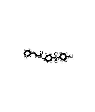 O=C(C=Cc1cccnc1)Nc1ccc(S(=O)(=O)c2ccc(Cl)cc2)cc1